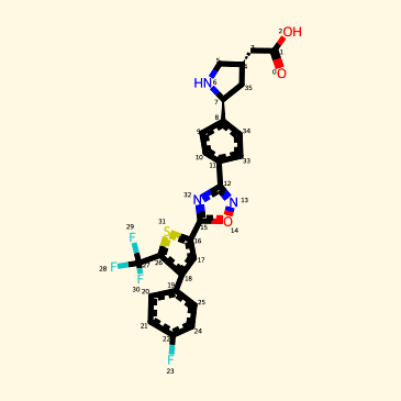 O=C(O)C[C@H]1CN[C@H](c2ccc(-c3noc(-c4cc(-c5ccc(F)cc5)c(C(F)(F)F)s4)n3)cc2)C1